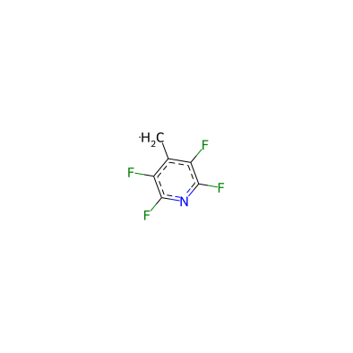 [CH2]c1c(F)c(F)nc(F)c1F